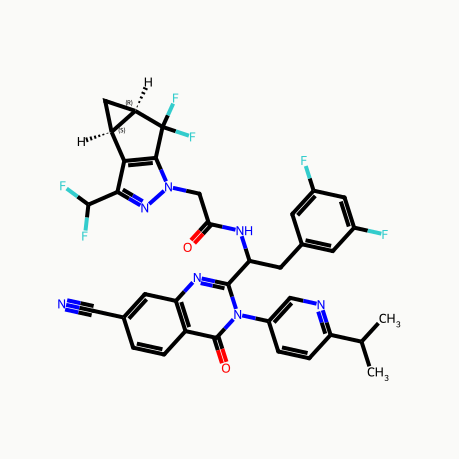 CC(C)c1ccc(-n2c(C(Cc3cc(F)cc(F)c3)NC(=O)Cn3nc(C(F)F)c4c3C(F)(F)[C@@H]3C[C@H]43)nc3cc(C#N)ccc3c2=O)cn1